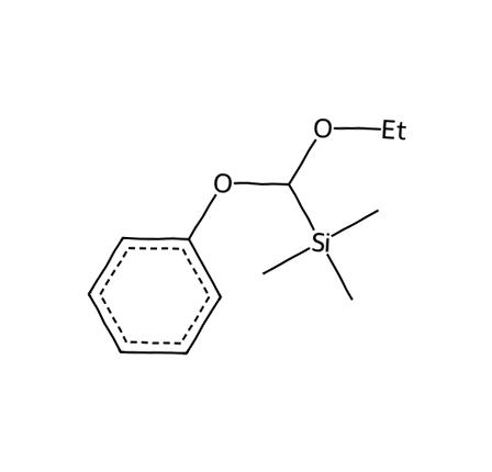 CCOC(Oc1ccccc1)[Si](C)(C)C